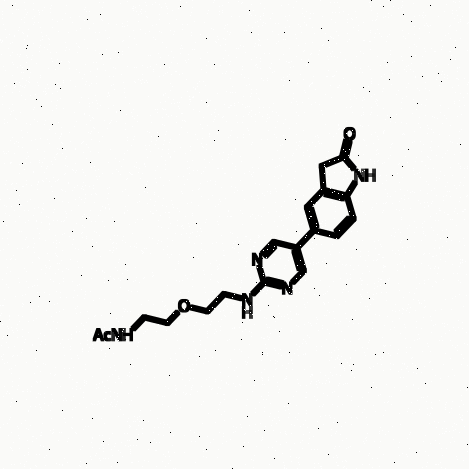 CC(=O)NCCOCCNc1ncc(-c2ccc3c(c2)CC(=O)N3)cn1